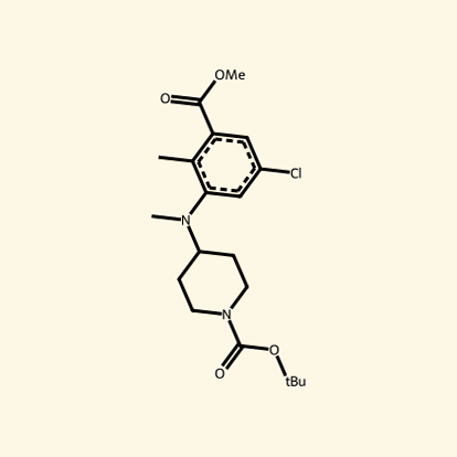 COC(=O)c1cc(Cl)cc(N(C)C2CCN(C(=O)OC(C)(C)C)CC2)c1C